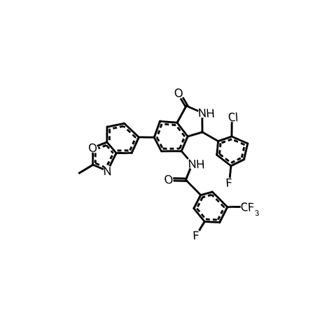 Cc1nc2cc(-c3cc(NC(=O)c4cc(F)cc(C(F)(F)F)c4)c4c(c3)C(=O)NC4c3cc(F)ccc3Cl)ccc2o1